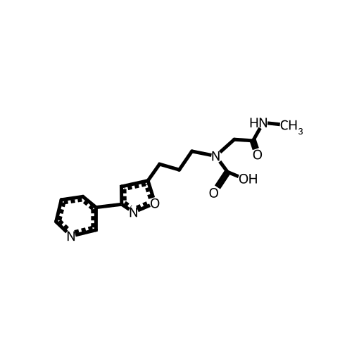 CNC(=O)CN(CCCc1cc(-c2cccnc2)no1)C(=O)O